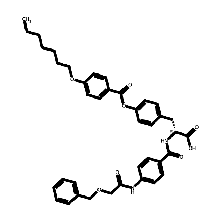 CCCCCCCOc1ccc(C(=O)Oc2ccc(C[C@@H](NC(=O)c3ccc(NC(=O)COCc4ccccc4)cc3)C(=O)O)cc2)cc1